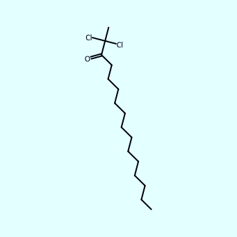 CCCCCCCCCCCCCC(=O)C(C)(Cl)Cl